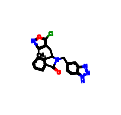 Cc1noc(Cl)c1CC1c2ccccc2C(=O)N1Cc1ccc2[nH]nnc2c1